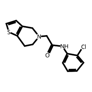 O=C(CN1CCc2sccc2C1)Nc1ccccc1Cl